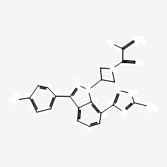 C=C(F)C(=O)N1CC(n2nc(-c3ccc(C(F)(F)F)cc3)c3cccc(-c4noc(C)n4)c32)C1